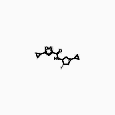 C[C@H]1CN(C2CC2)C[C@@H]1NC(=O)c1cc(C2CC2)on1